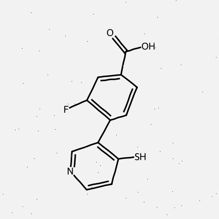 O=C(O)c1ccc(-c2cnccc2S)c(F)c1